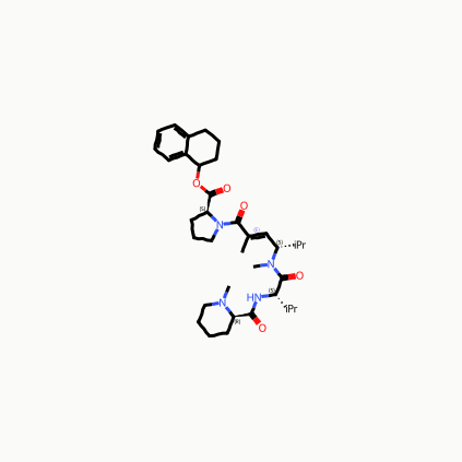 C/C(=C\[C@H](C(C)C)N(C)C(=O)[C@@H](NC(=O)[C@H]1CCCCN1C)C(C)C)C(=O)N1CCC[C@H]1C(=O)OC1CCCc2ccccc21